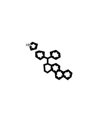 c1cc[nH]c1.c1ccc(C(c2ccccc2)C2CCCc3c2ccc2c3ccc3ccccc32)cc1